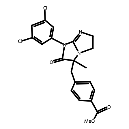 COC(=O)c1ccc(CC2(C)C(=O)N(c3cc(Cl)cc(Cl)c3)C3=NCCN32)cc1